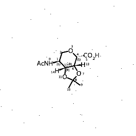 CC(=O)N[C@H]1CO[C@H](C(=O)O)[C@@H]2OC(C)(C)O[C@@H]21